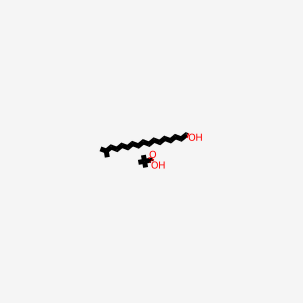 CC(C)(C)C(=O)O.CC(C)CCCCCCCCCCCCCCCO